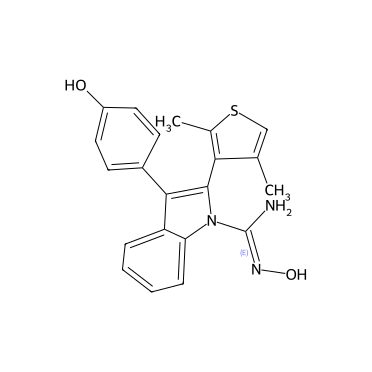 Cc1csc(C)c1-c1c(-c2ccc(O)cc2)c2ccccc2n1/C(N)=N/O